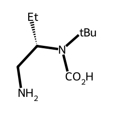 CC[C@@H](CN)N(C(=O)O)C(C)(C)C